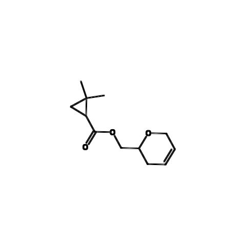 CC1(C)CC1C(=O)OCC1CC=CCO1